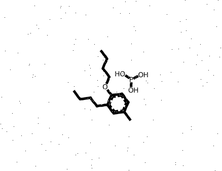 CCCCOc1ccc(C)cc1CCCC.OP(O)O